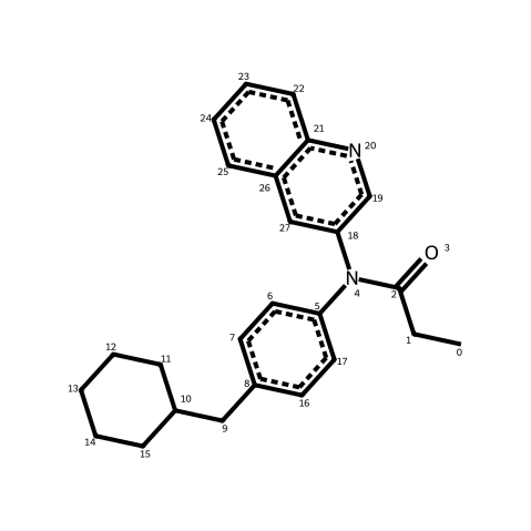 CCC(=O)N(c1ccc(CC2CCCCC2)cc1)c1cnc2ccccc2c1